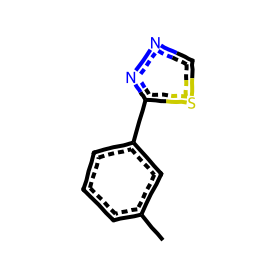 Cc1cccc(-c2nncs2)c1